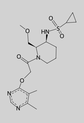 COC[C@H]1[C@@H](NS(=O)(=O)C2CC2)CCCN1C(=O)COc1ncnc(C)c1C